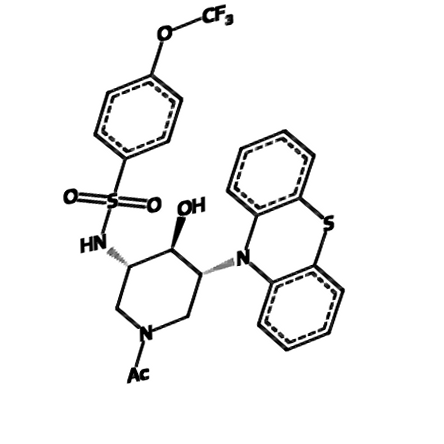 CC(=O)N1C[C@H](NS(=O)(=O)c2ccc(OC(F)(F)F)cc2)[C@@H](O)[C@H](N2c3ccccc3Sc3ccccc32)C1